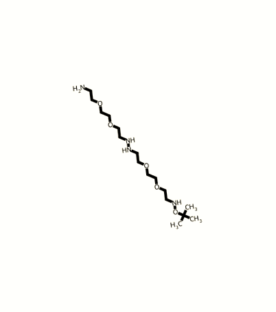 CC(C)(C)ONCCOCCOCCNNCCOCCOCCN